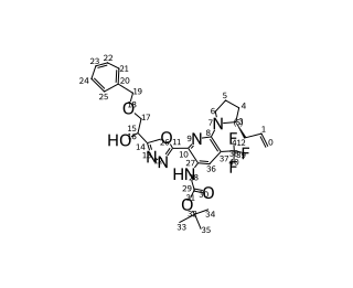 C=CC[C@@H]1CCCN1c1nc(-c2nnc(C(O)COCc3ccccc3)o2)c(NC(=O)OC(C)(C)C)cc1C(F)(F)F